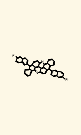 CC(C)c1ccc2cc(-c3c4ccccc4c4nc5ccc6c(-c7ccc8cc(C(C)C)ccc8c7)c7ccccc7c7nc8ccc3c4c8c5c67)ccc2c1